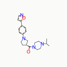 CC(C)N1CCN(C(=O)[C@H]2CCN(c3ccc(-c4ccno4)cc3)C2)CC1